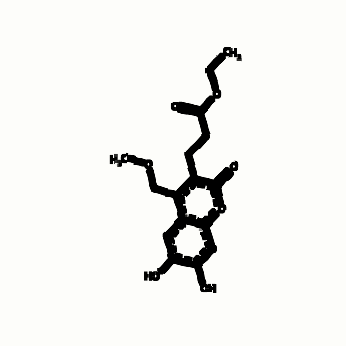 CCOC(=O)CCc1c(COC)c2cc(O)c(O)cc2oc1=O